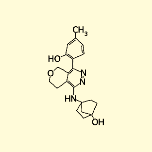 Cc1ccc(-c2nnc(NC34CCC(O)(CC3)C4)c3c2COCC3)c(O)c1